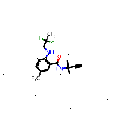 C#CC(C)(C)NC(=O)c1cc(C(F)(F)F)ccc1NCC(F)(F)C(F)(F)F